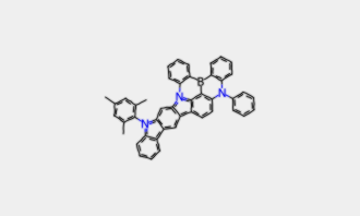 Cc1cc(C)c(-n2c3ccccc3c3cc4c5ccc6c7c5n(c4cc32)-c2ccccc2B7c2ccccc2N6c2ccccc2)c(C)c1